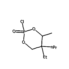 CCCC1(CC)COP(=O)(Cl)OC1C